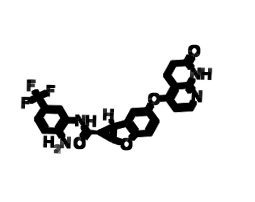 Nc1ccc(C(F)(F)F)cc1NC(=O)[C@@H]1C2Oc3ccc(Oc4ccnc5c4CCC(=O)N5)cc3[C@H]21